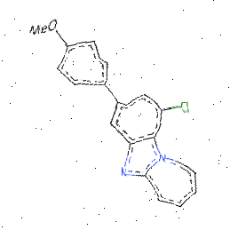 COc1ccc(-c2cc(Cl)c3c(c2)nc2ccccn23)cc1